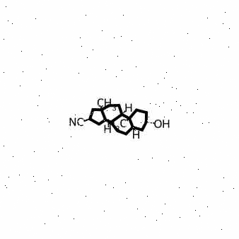 C[C@@]12CC[C@@H]3[C@H](CC[C@H]4C[C@@H](O)CC[C@]43C)C1C[C@@H](C#N)C2